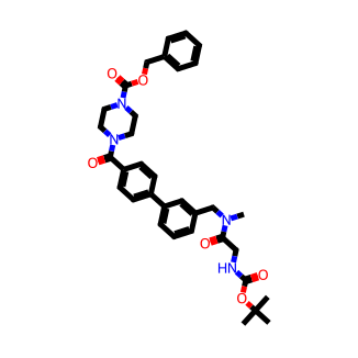 CN(Cc1cccc(-c2ccc(C(=O)N3CCN(C(=O)OCc4ccccc4)CC3)cc2)c1)C(=O)CNC(=O)OC(C)(C)C